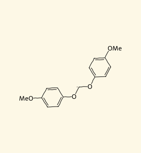 COc1ccc(O[CH]Oc2ccc(OC)cc2)cc1